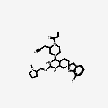 C=CC(=O)N1CCN(C2NC(OCC3CCCN3C)NC3C[C@@]4(CCC32)Cc2cccc(F)c2S4)CC1CC#N